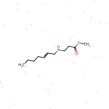 CCCCC=CCNCCC(=O)OC